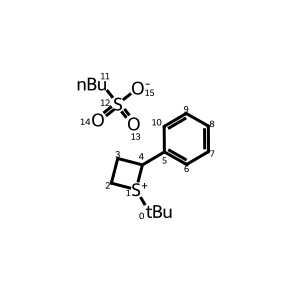 CC(C)(C)[S+]1CCC1c1ccccc1.CCCCS(=O)(=O)[O-]